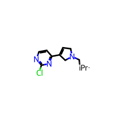 C[C](C)CN1CC=C(c2ccnc(Cl)n2)C1